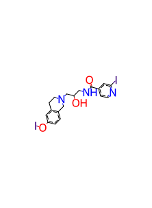 O=C(NCC(O)CN1CCc2cc(OI)ccc2C1)c1ccnc(I)c1